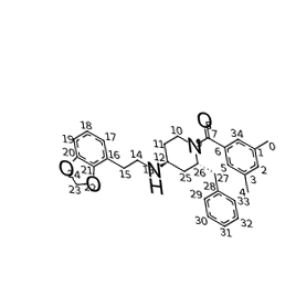 Cc1cc(C)cc(C(=O)N2CC[C@H](NCCc3cccc4c3OCO4)C[C@H]2Cc2ccccc2)c1